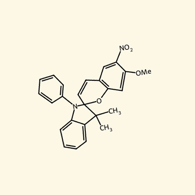 COc1cc2c(cc1[N+](=O)[O-])C=CC1(O2)N(c2ccccc2)c2ccccc2C1(C)C